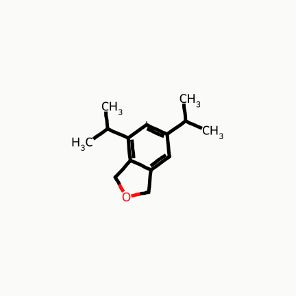 CC(C)c1[c]c(C(C)C)c2c(c1)COC2